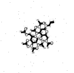 C=CCOC1OC(COC(C)=O)C(O[C@H]2OC(COC(C)=O)[C@@H](OC(C)=O)[C@H](OC(C)=O)[C@H]2OC(C)=O)C(OC(C)=O)[C@H]1OC(C)=O